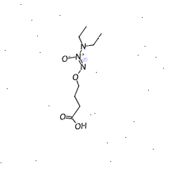 CCN(CC)/[N+]([O-])=N/OCCCC(=O)O